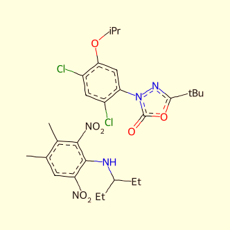 CC(C)Oc1cc(-n2nc(C(C)(C)C)oc2=O)c(Cl)cc1Cl.CCC(CC)Nc1c([N+](=O)[O-])cc(C)c(C)c1[N+](=O)[O-]